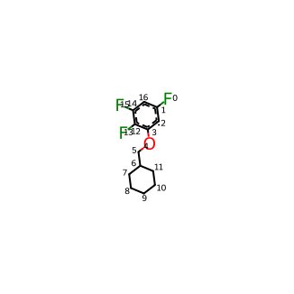 Fc1[c]c(OCC2CCCCC2)c(F)c(F)c1